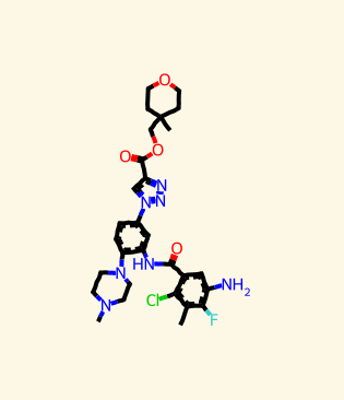 Cc1c(F)c(N)cc(C(=O)Nc2cc(-n3cc(C(=O)OCC4(C)CCOCC4)nn3)ccc2N2CCN(C)CC2)c1Cl